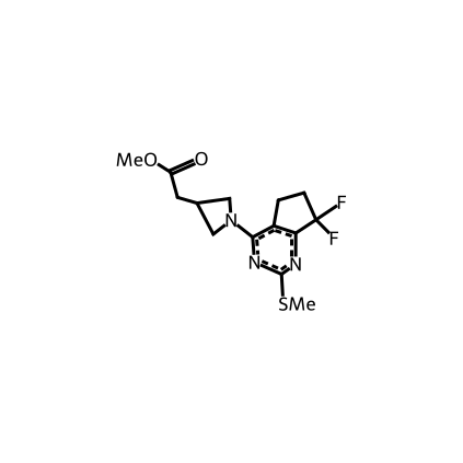 COC(=O)CC1CN(c2nc(SC)nc3c2CCC3(F)F)C1